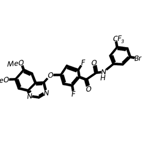 COc1cc2ncnc(Oc3cc(F)c(C(=O)C(=O)Nc4cc(Br)cc(C(F)(F)F)c4)c(F)c3)c2cc1OC